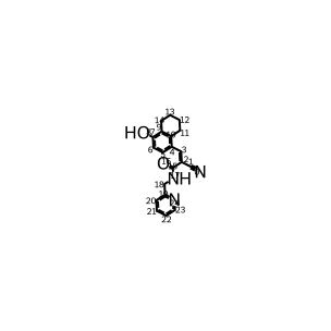 N#CC(=Cc1ccc(O)c2c1CCCC2)C(=O)NCc1ccccn1